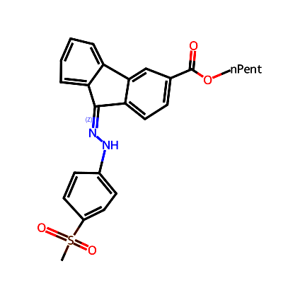 CCCCCOC(=O)c1ccc2c(c1)-c1ccccc1/C2=N/Nc1ccc(S(C)(=O)=O)cc1